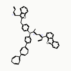 C=C/C=C\c1c(Cc2ccc(N(/C(C)=C/C=C(\C=C)c3cccc4c3oc3ccccc34)c3ccc(C4=CCC=C(C5=CC=CCC=C5)C=C4)cc3)cc2)oc2ccccc12